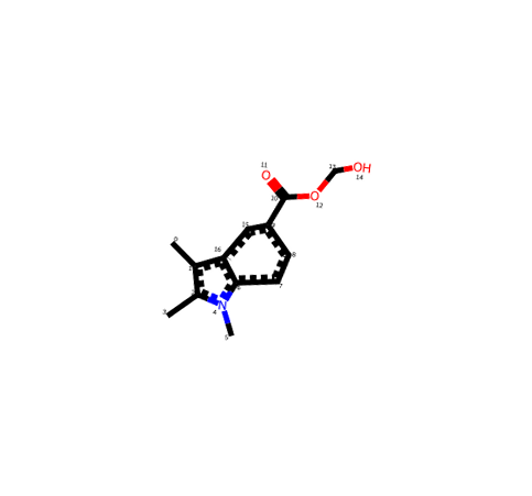 Cc1c(C)n(C)c2ccc(C(=O)OCO)cc12